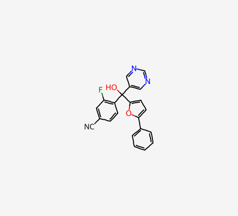 N#Cc1ccc(C(O)(c2cncnc2)c2ccc(-c3ccccc3)o2)c(F)c1